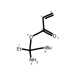 C=CC(=O)OC(N)(CC)CCCC